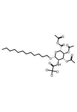 CCCCCCCCCCCCO[C@@H]1O[C@H](C(=S)OC(C)=O)[C@@H](OC(C)=O)[C@H](OC(C)=O)[C@H]1NC(=O)C(Cl)(Cl)Cl